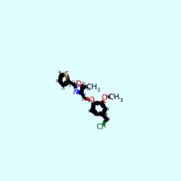 COc1cc(CCl)ccc1OCc1nc(-c2cccs2)oc1C